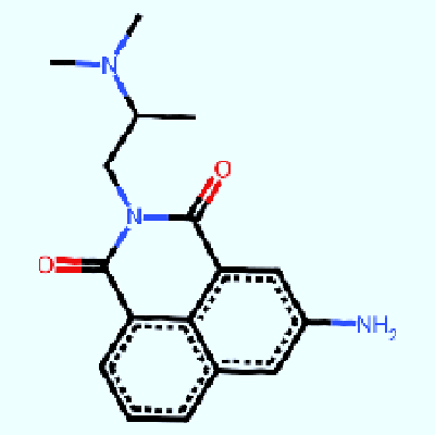 CC(CN1C(=O)c2cccc3cc(N)cc(c23)C1=O)N(C)C